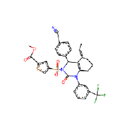 CC=C1CCCC2=C1C(c1ccc(C#N)cc1)N(S(=O)(=O)c1csc(C(=O)OC)c1)C(=O)N2c1cccc(C(F)(F)F)c1